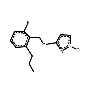 CCCc1cccc(Br)c1COc1ccn(O)n1